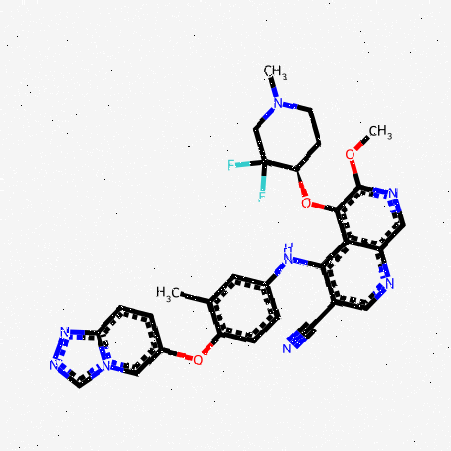 COc1ncc2ncc(C#N)c(Nc3ccc(Oc4ccc5nncn5c4)c(C)c3)c2c1O[C@@H]1CCN(C)CC1(F)F